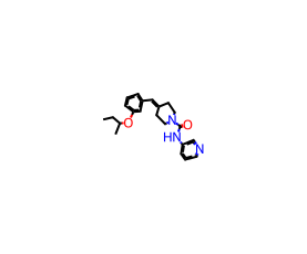 CCC(C)Oc1cccc(C=C2CCN(C(=O)Nc3cccnc3)CC2)c1